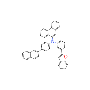 c1cc(-c2cc3ccccc3o2)cc(N(c2ccc(-c3ccc4ccccc4c3)cc2)c2cc3ccccc3c3ccccc23)c1